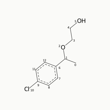 CC(OCCO)c1ccc(Cl)cc1